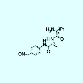 CC(C)[C@H](N)C(=O)N[C@@H](C)C(=O)Nc1ccc(CN=O)cc1